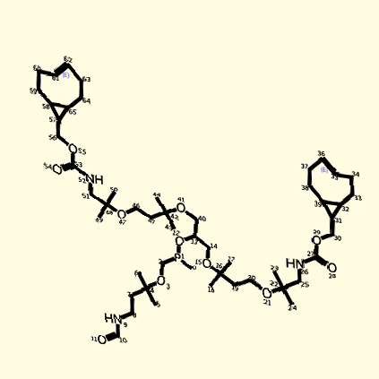 CP(COC(C)(C)CCNC=O)OC(COC(C)(C)CCOC(C)(C)CNC(=O)OCC1C2CC/C=C/CCC21)COC(C)(C)CCOC(C)(C)CNC(=O)OCC1C2CC/C=C/CCC21